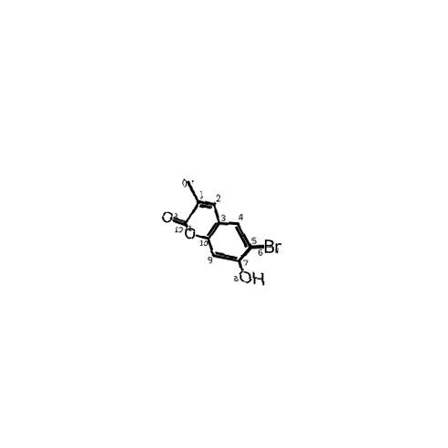 [CH2]c1cc2cc(Br)c(O)cc2oc1=O